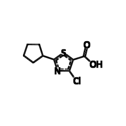 O=C(O)c1sc(C2CCCC2)nc1Cl